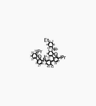 CCc1ccc(N(I)c2cccc3c2oc2c(C(C)C)ccc(-c4cc(N(I)c5cccc6c5oc5c(C(C)C)cccc56)ccc4C)c23)cc1